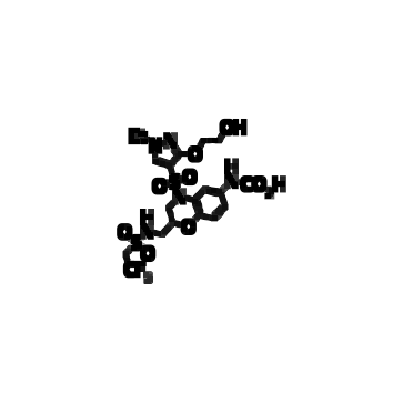 CCn1cc(S(=O)(=O)N2CC(CNS(=O)(=O)CC(F)(F)F)Oc3ccc(NC(=O)O)cc32)c(OCCO)n1